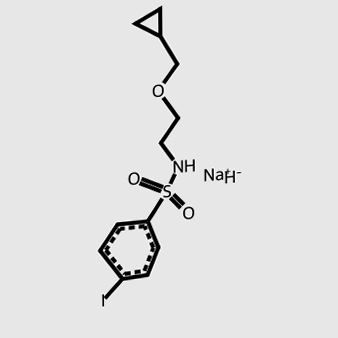 O=S(=O)(NCCOCC1CC1)c1ccc(I)cc1.[H-].[Na+]